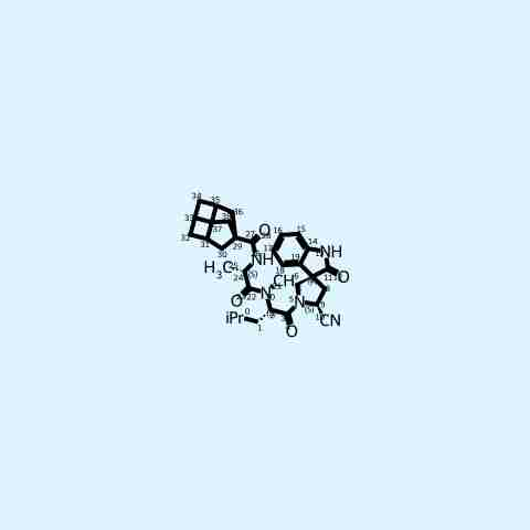 CC(C)C[C@@H](C(=O)N1C[C@]2(C[C@H]1C#N)C(=O)Nc1ccccc12)N(C)C(=O)[C@H](C)NC(=O)C12CC3CC4CC(C1)C43C2